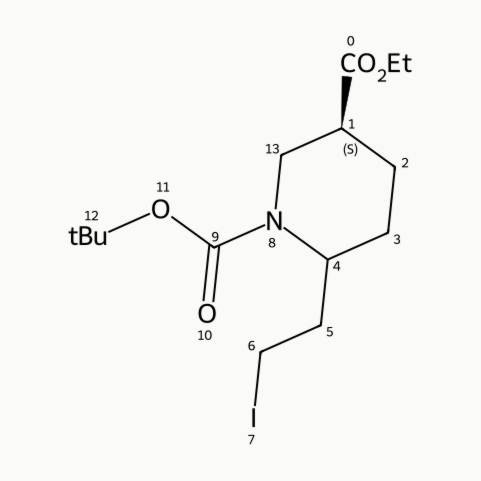 CCOC(=O)[C@H]1CCC(CCI)N(C(=O)OC(C)(C)C)C1